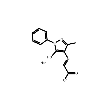 Cc1nn(-c2ccccc2)c(O)c1N=CC(=O)[O-].[Na+]